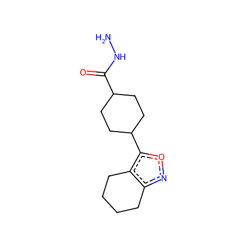 NNC(=O)C1CCC(c2onc3c2CCCC3)CC1